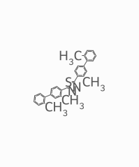 Cc1ccccc1-c1ccc(-c2nnc(-c3ccc(-c4ccccc4C)cc3C)s2)c(C)c1